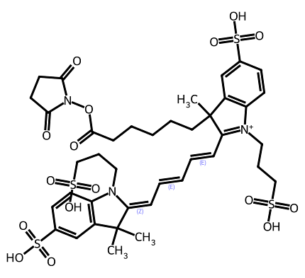 CC1(CCCCCC(=O)ON2C(=O)CCC2=O)C(/C=C/C=C/C=C2\N(CCCS(=O)(=O)O)c3ccc(S(=O)(=O)O)cc3C2(C)C)=[N+](CCCS(=O)(=O)O)c2ccc(S(=O)(=O)O)cc21